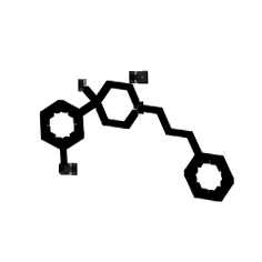 Cl.Oc1cccc(C2(F)CCN(CCCc3ccccc3)CC2)c1